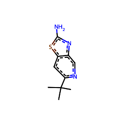 CC(C)(C)c1cc2sc(N)nc2cn1